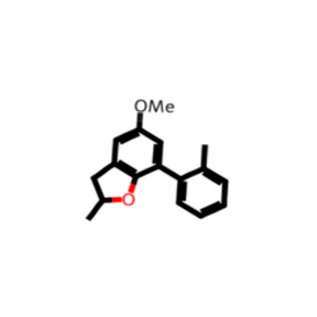 COc1cc2c(c(-c3ccccc3C)c1)OC(C)C2